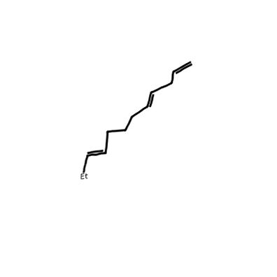 C=CCC=CCCCC=CCC